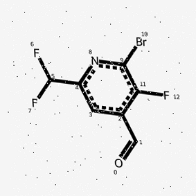 O=Cc1cc(C(F)F)nc(Br)c1F